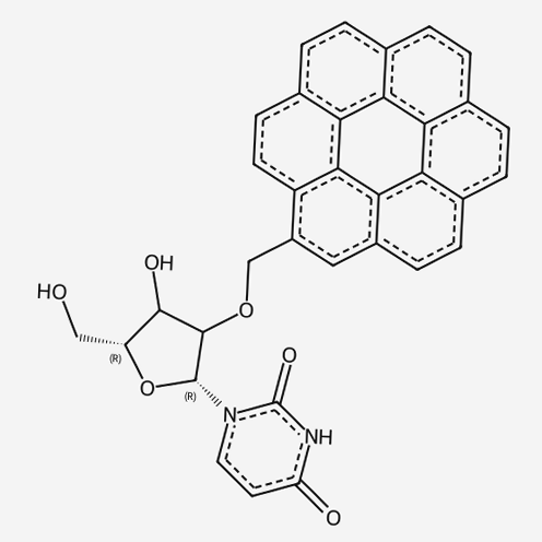 O=c1ccn([C@@H]2O[C@H](CO)C(O)C2OCc2cc3ccc4ccc5ccc6ccc7ccc2c2c7c6c5c4c32)c(=O)[nH]1